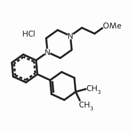 COCCN1CCN(c2ccccc2C2=CCC(C)(C)CC2)CC1.Cl